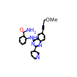 COCC#Cc1ccc2nc(-c3cccnc3)nc(Nc3ccccc3C(N)=O)c2c1